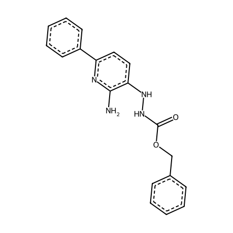 Nc1nc(-c2ccccc2)ccc1NNC(=O)OCc1ccccc1